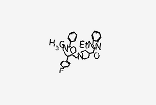 CCn1c(C(=O)C2CCN(CCC(CN(C)C(=O)c3ccccc3)c3ccc(F)cc3)CC2)nc2ccccc21